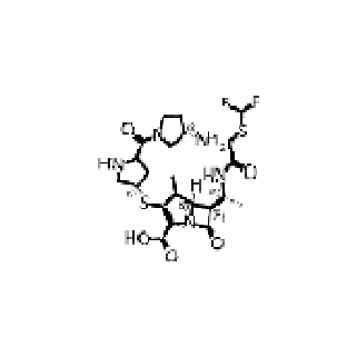 CC1C(S[C@@H]2CNC(C(=O)N3CC[C@H](N)C3)C2)=C(C(=O)O)N2C(=O)[C@H]([C@@H](C)NC(=O)CSC(F)F)[C@@H]12